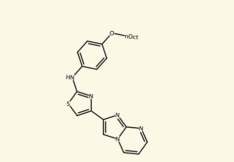 CCCCCCCCOc1ccc(Nc2nc(-c3cn4cccnc4n3)cs2)cc1